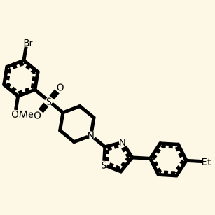 CCc1ccc(-c2csc(N3CCC(S(=O)(=O)c4cc(Br)ccc4OC)CC3)n2)cc1